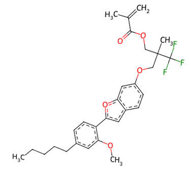 C=C(C)C(=O)OCC(C)(COc1ccc2cc(-c3ccc(CCCCC)cc3OC)oc2c1)C(F)(F)F